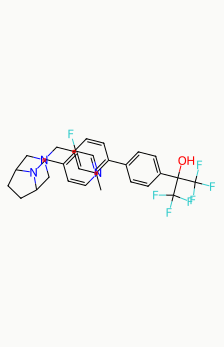 Cc1cc(CN2CC3CCC(C2)N3Cc2ccncc2F)ccc1-c1ccc(C(O)(C(F)(F)F)C(F)(F)F)cc1